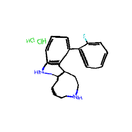 Cl.Cl.Fc1ccccc1-c1cccc2c1C1CCNCCC1N2